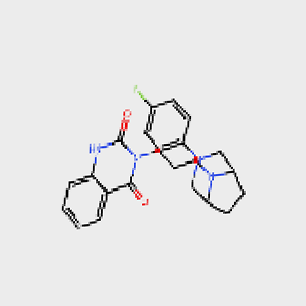 O=c1[nH]c2ccccc2c(=O)n1CCCN1C2CCC1CN(c1ccc(F)cc1)C2